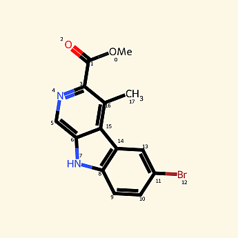 COC(=O)c1ncc2[nH]c3ccc(Br)cc3c2c1C